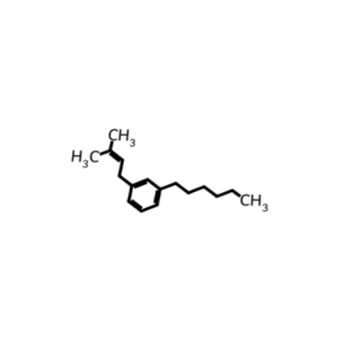 CCCCCCc1cccc(CC=C(C)C)c1